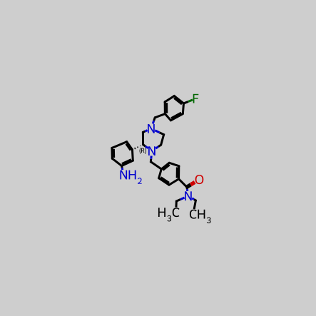 CCN(CC)C(=O)c1ccc(CN2CCN(Cc3ccc(F)cc3)C[C@H]2c2cccc(N)c2)cc1